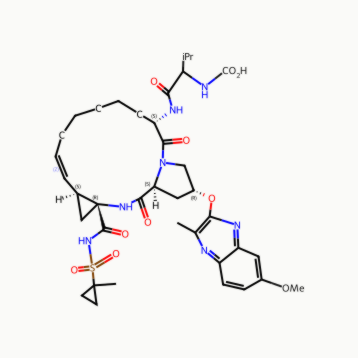 COc1ccc2nc(C)c(O[C@@H]3C[C@H]4C(=O)N[C@]5(C(=O)NS(=O)(=O)C6(C)CC6)C[C@H]5/C=C\CCCCC[C@H](NC(=O)C(NC(=O)O)C(C)C)C(=O)N4C3)nc2c1